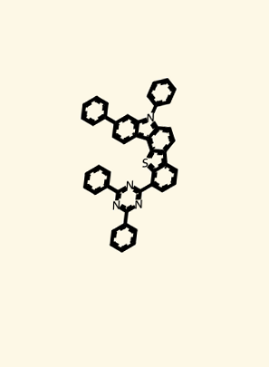 c1ccc(-c2ccc3c4c5sc6c(-c7nc(-c8ccccc8)nc(-c8ccccc8)n7)cccc6c5ccc4n(-c4ccccc4)c3c2)cc1